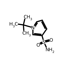 CC(C)(C)[n+]1cccc(S(N)(=O)=O)c1